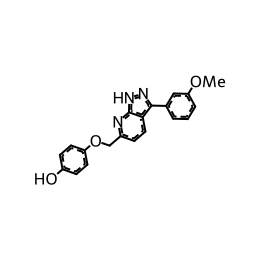 COc1cccc(-c2n[nH]c3nc(COc4ccc(O)cc4)ccc23)c1